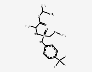 COCP(=O)(Nc1ccc(C(F)(F)F)cc1)NC(C)C(=O)OC(C)C